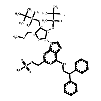 COC[C@H]1O[C@@H](n2cnc3c(NCC(c4ccccc4)c4ccccc4)nc(COS(C)(=O)=O)nc32)[C@@H](O[Si](C)(C)C(C)(C)C)[C@@H]1O[Si](C)(C)C(C)(C)C